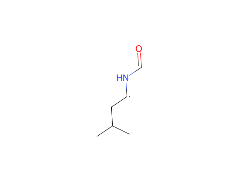 CC(C)C[CH]NC=O